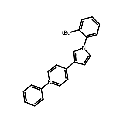 CC(C)(C)c1ccccc1-n1ccc(-c2cc[n+](-c3ccccc3)cc2)c1